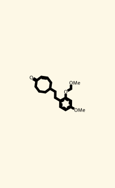 COCOc1cc(OC)ccc1CCC1CC=CC(=O)CCC1